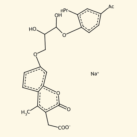 CCCc1cc(C(C)=O)ccc1OC(O)C(O)COc1ccc2c(C)c(CC(=O)[O-])c(=O)oc2c1.[Na+]